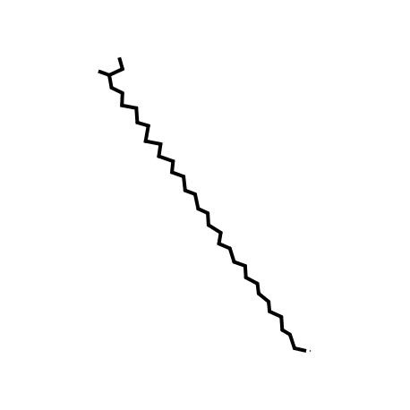 [CH2]CCCCCCCCCCCCCCCCCCCCCCCCCCCCCCCC(C)CC